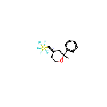 CC1(c2ccccc2)C/C(=C/S(F)(F)(F)(F)F)CCO1